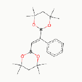 CC1(C)CC(C)(C)OB(C=C(B2OC(C)(C)CC(C)(C)O2)c2ccccc2)O1